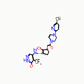 N#Cc1ccc(N2CCN(C(=O)C[C@H]3CC[C@H](CNc4cn[nH]c(=O)c4C(F)(F)F)C3=O)CC2)nc1